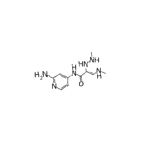 CN/C=C(\NNC)C(=O)Nc1ccnc(N)c1